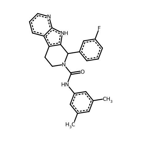 Cc1cc(C)cc(NC(=O)N2CCc3c([nH]c4ncccc34)C2c2cccc(F)c2)c1